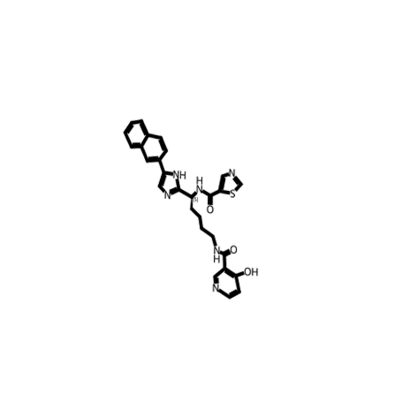 O=C(N[C@@H](CCCCNC(=O)c1cnccc1O)c1ncc(-c2ccc3ccccc3c2)[nH]1)c1cncs1